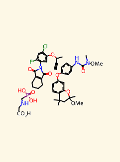 C#CC(C)Oc1cc(N2C(=O)C3=C(CCCC3)C2=O)c(F)cc1Cl.CON(C)C(=O)Nc1ccc(Oc2ccc3c(c2)OC(C)(OC)CC3(C)C)cc1.O=C(O)CNCP(=O)(O)O